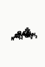 C[C@@]1(c2cc(NC(=O)c3ccc(C#N)cn3)cs2)C[C@@H](C(F)(F)F)N=C(N)O1